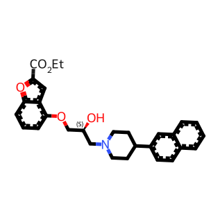 CCOC(=O)c1cc2c(OC[C@@H](O)CN3CCC(c4ccc5ccccc5c4)CC3)cccc2o1